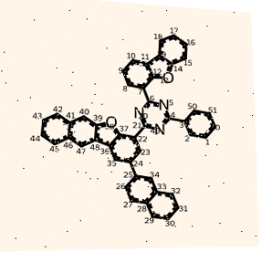 c1ccc(-c2nc(-c3cccc4c3oc3ccccc34)nc(-c3cc(-c4ccc5ccccc5c4)cc4c3oc3cc5ccccc5cc34)n2)cc1